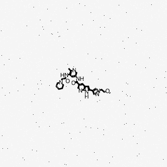 COCCn1cc(-c2cc3cc(C(=O)Nc4cnc(C)c(NC(=O)CN5CCCCC5)c4)cnc3[nH]2)cn1